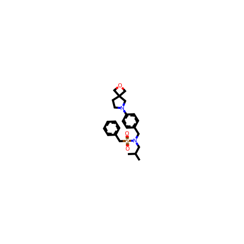 CC(C)CN(Cc1ccc(N2CCC3(COC3)C2)cc1)S(=O)(=O)Cc1ccccc1